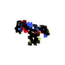 CCN(c1ccccn1)S(=O)(=O)NC(=O)N[C@@H](Cc1cc(F)cc(F)c1)C(=O)N(C)c1ccc2scnc2c1